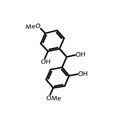 COc1ccc(C(O)c2ccc(OC)cc2O)c(O)c1